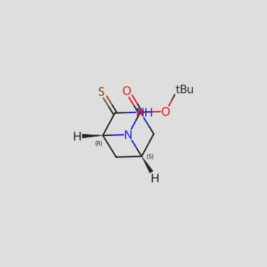 CC(C)(C)OC(=O)N1[C@@H]2CNC(=S)[C@H]1C2